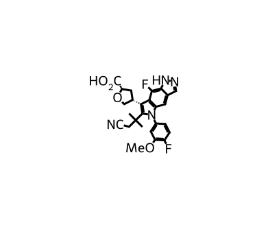 COc1cc(-n2c(C(C)(C)CC#N)c([C@@H]3CO[C@@H](C(=O)O)C3)c3c(F)c4[nH]ncc4cc32)ccc1F